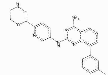 Nc1nc(Nc2ccc(C3CNCCO3)nc2)nc2c(-c3cccc(F)c3)cccc12